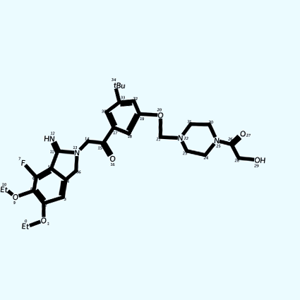 CCOc1cc2c(c(F)c1OCC)C(=N)N(CC(=O)c1cc(OCN3CCN(C(=O)CO)CC3)cc(C(C)(C)C)c1)C2